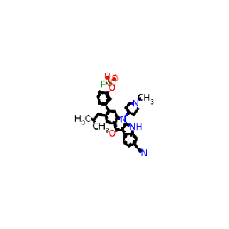 CC(C)Cc1cc2c(=O)c3c4ccc(C#N)cc4[nH]c3n(C3CCN(C)CC3)c2cc1-c1cccc(OS(=O)(=O)F)c1